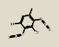 CCc1cc(C)c(N=C=O)c(CC)c1N=C=O